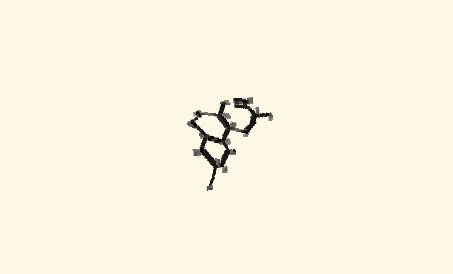 CC/C(C)=C\C1=C(C)SSc2cc(C)ccc21